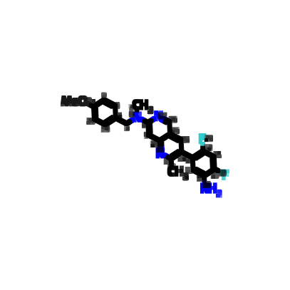 COc1ccc(CN(C)c2cc3nc(C)c(-c4cc(N)c(F)cc4F)cc3cn2)cc1